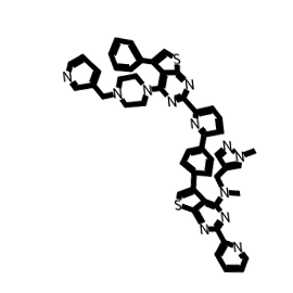 CN(Cc1cnn(C)c1)c1nc(-c2ccccn2)nc2scc(-c3ccc(-c4cccc(-c5nc(N6CCN(Cc7cccnc7)CC6)c6c(-c7ccccc7)csc6n5)n4)cc3)c12